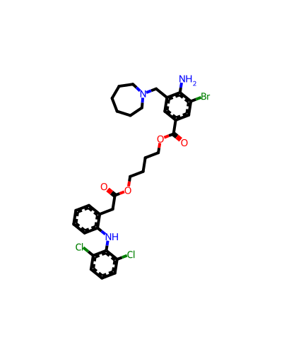 Nc1c(Br)cc(C(=O)OCCCCOC(=O)Cc2ccccc2Nc2c(Cl)cccc2Cl)cc1CN1CCCCCC1